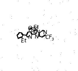 CCc1ccccc1-c1cnc(-c2nc3cc(C(F)(F)F)ncc3n2C)c(S(=O)(=O)CC)c1